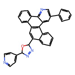 c1ccc(-c2cnc3c4ccccc4c4cc(C5N=NC(c6ccncc6)O5)c5ccccc5c4c3c2)cc1